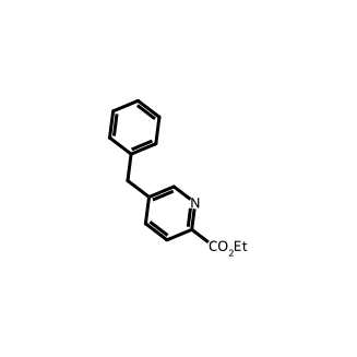 CCOC(=O)c1ccc(Cc2ccccc2)cn1